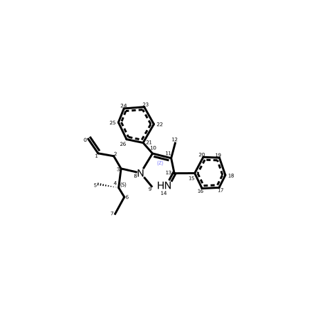 C=CCC([C@@H](C)CC)N(C)/C(=C(/C)C(=N)c1ccccc1)c1ccccc1